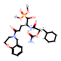 CCOP(=O)(OCC)C(O)[C@H](CCC(=O)N1CCOc2ccccc2C1)NC(=O)[C@H](CC1CCCCC1)OC(N)=O